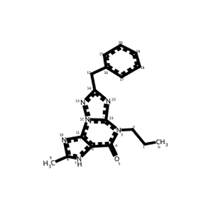 CCCn1c(=O)c2[nH]c(C)nc2n2nc(Cc3ccccc3)nc12